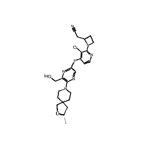 C[C@H]1CC2(CCN(c3ncc(Sc4ccnc(N5CCC5CC#N)c4Cl)nc3CO)CC2)CO1